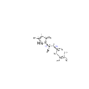 C=c1cc(C)[nH]/c1=C(F)/C=C(/C)CC(C)C(C)C